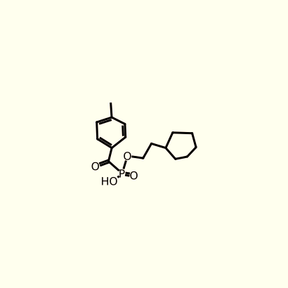 Cc1ccc(C(=O)P(=O)(O)OCCC2CCCCC2)cc1